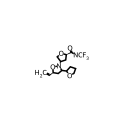 C=C[C@@H]1CC(C2CCCO2)N([C@H]2CO[C@@H](C(=O)NC(F)(F)F)C2)O1